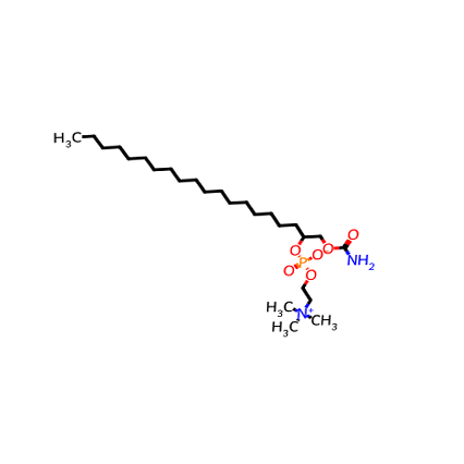 CCCCCCCCCCCCCCCCCCC(COC(N)=O)OP(=O)([O-])OCC[N+](C)(C)C